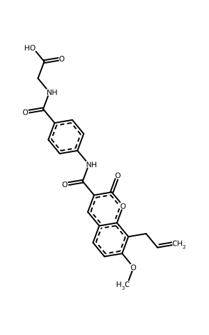 C=CCc1c(OC)ccc2cc(C(=O)Nc3ccc(C(=O)NCC(=O)O)cc3)c(=O)oc12